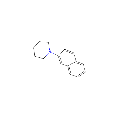 c1ccc2cc(N3CCCCC3)ccc2c1